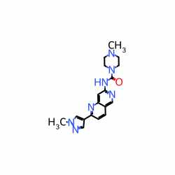 CN1CCN(C(=O)Nc2cc3nc(-c4cnn(C)c4)ccc3cn2)CC1